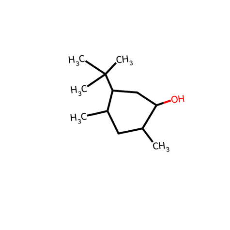 CC1CC(C)C(C(C)(C)C)CC1O